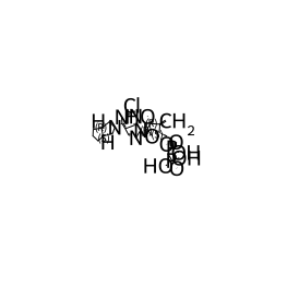 C=C1[C@@H](O)[C@H](n2ncc3c(N4C[C@H]5CCC[C@H]5C4)nc(Cl)nc32)O[C@@H]1COP(=O)(O)CP(=O)(O)O